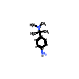 CN(C)C(C)(C)c1ccc(N)cc1